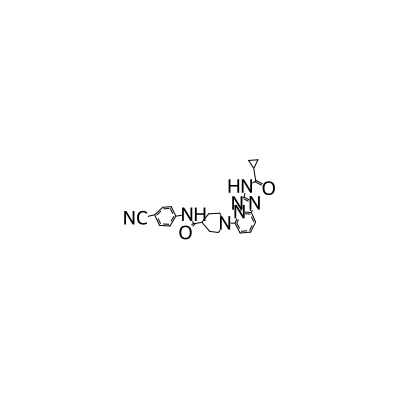 N#Cc1ccc(NC(=O)C2CCN(c3cccc4nc(NC(=O)C5CC5)nn34)CC2)cc1